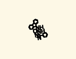 Cn1cnc(-c2ccccc2)c1NC(=O)NC1c2ccccc2-c2ccccc21